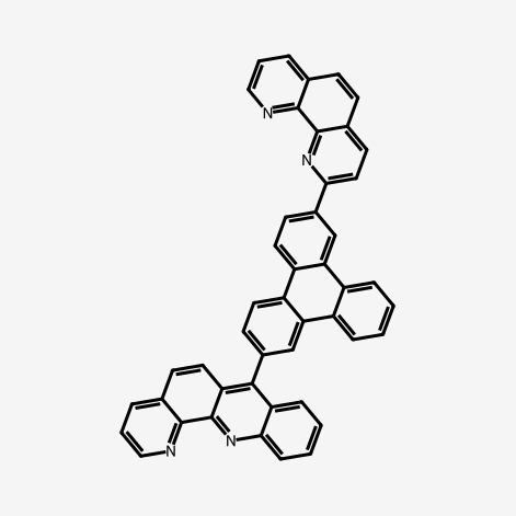 c1cnc2c(c1)ccc1ccc(-c3ccc4c5ccc(-c6c7ccccc7nc7c6ccc6cccnc67)cc5c5ccccc5c4c3)nc12